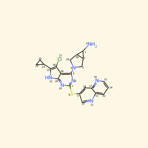 NC1C2CN(c3nc(Sc4cnc5cccnc5c4)nc4[nH]c(C5CC5)c(Cl)c34)CC12